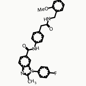 COc1ccccc1CNC(=O)Cc1ccc(NC(=O)c2ccc3nc(C)n(-c4ccc(F)cc4)c3c2)cc1